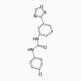 O=C(Nc1ccc(Cl)cc1)Nc1cccc(-c2ncon2)c1